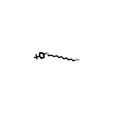 CC(C)(C)c1ccc(OCCCCCCCCCCCO)cc1